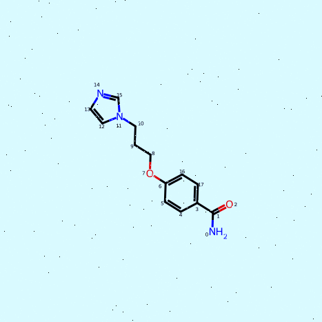 NC(=O)c1ccc(OCCCn2ccnc2)cc1